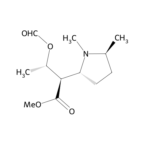 COC(=O)[C@@H]([C@H](C)OC=O)[C@H]1CC[C@H](C)N1C